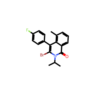 Cc1cccc2c(=O)n(C(C)C)c(Br)c(-c3ccc(F)cc3)c12